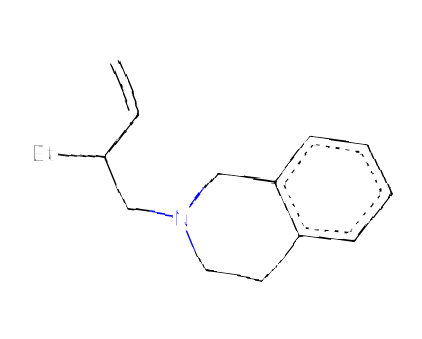 C=CC(CC)CN1CCc2ccccc2C1